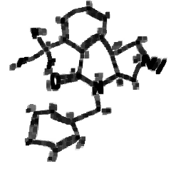 O=C1c2c(cccc2C(F)(F)F)C2CNCC2N1Cc1ccccc1